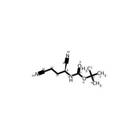 CC(C)(C)OC(=O)N[C@H](C#N)CCC#N